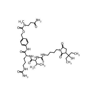 BC(=O)CCN(C)C(=O)OCc1ccc(NC(=O)[C@H](CCCNC(N)=O)NC(=O)[C@@H](NC(=S)NCCCCN2C(=O)CC(C(S)(CC)CC)C2=O)C(C)C)cc1